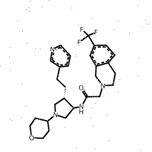 O=C(CN1CCc2ccc(C(F)(F)F)cc2C1)NC1CN(C2CCOCC2)C[C@@H]1CCc1cccnc1